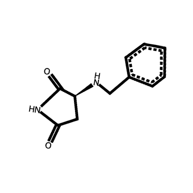 O=C1C[C@H](NCc2ccccc2)C(=O)N1